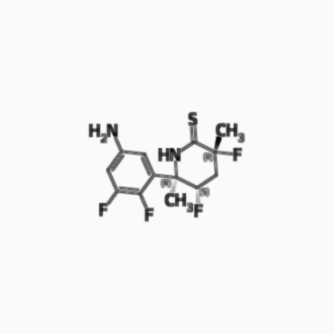 C[C@@]1(F)C[C@H](F)[C@@](C)(c2cc(N)cc(F)c2F)NC1=S